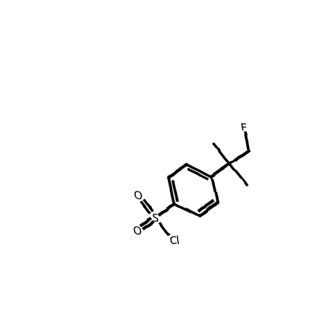 CC(C)(CF)c1ccc(S(=O)(=O)Cl)cc1